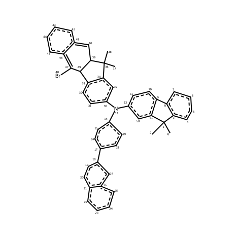 CC1(C)c2ccccc2-c2ccc(N(c3ccc(-c4ccc5ccccc5c4)cc3)c3ccc4c(c3)C(C)(C)C3C=c5ccccc5=C(Br)C43)cc21